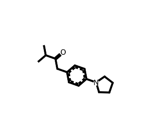 CC(C)C(=O)Cc1ccc(N2CCCC2)cc1